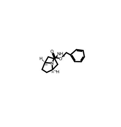 NC1C[C@H]2CC[C@@H](C1)N2C(=O)OCc1ccccc1